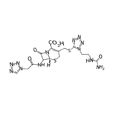 NC(=O)NCCn1nnnc1SCC1=C(C(=O)O)N2C(=O)C(NC(=O)Cn3cnnn3)[C@H]2SC1